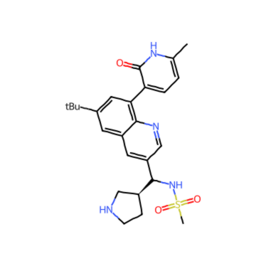 Cc1ccc(-c2cc(C(C)(C)C)cc3cc(C(NS(C)(=O)=O)[C@H]4CCNC4)cnc23)c(=O)[nH]1